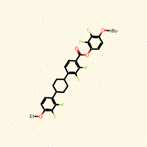 CCCCOc1ccc(OC(=O)c2ccc(C3CCC(c4ccc(OCC)c(F)c4F)CC3)c(F)c2F)c(F)c1F